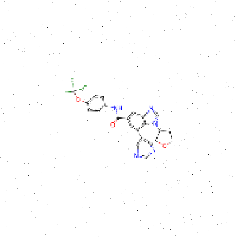 O=C(Nc1ccc(OC(F)(F)Cl)cc1)c1cc(-c2cncnc2)c2c(c1)ncn2C1CCOC1